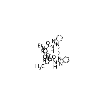 CCn1nc(C)cc1C(=O)Nc1nc2ccccc2n1CCCCn1c(NC(=O)c2cc(C)nn2CC)nc2ccccc21